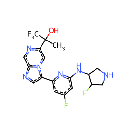 CC(O)(c1cn2c(-c3cc(F)cc(NC4CNCC4F)n3)cnc2cn1)C(F)(F)F